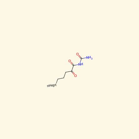 CCCCCCCCCCC(=O)C(=O)NC(N)=O